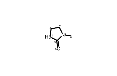 CN1CCBC1=O